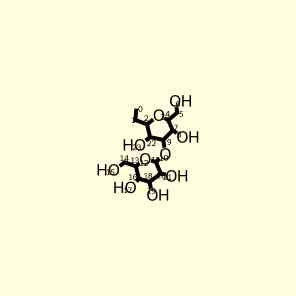 CCC1OC(CO)C(O)C(OC2OC(CO)C(O)C(O)C2O)C1O